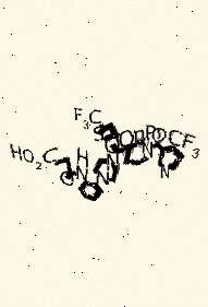 CCC[C@H]1N(C(=O)c2cnccc2C(F)(F)F)CCC[C@@]1(Oc1csc(C(F)(F)F)c1)C(=O)N1CCN(c2ccccc2NC(=O)CCC(=O)O)CC1